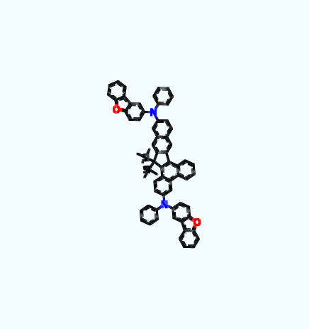 C[Si](C)(C)C1([Si](C)(C)C)c2cc3cc(N(c4ccccc4)c4ccc5oc6ccccc6c5c4)ccc3cc2-c2c1c1ccc(N(c3ccccc3)c3ccc4oc5ccccc5c4c3)cc1c1ccccc21